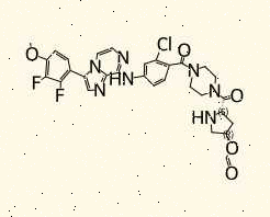 COc1ccc(-c2cnc3c(Nc4ccc(C(=O)N5CCN(C(=O)[C@@H]6C[C@@H](OC=O)CN6)CC5)c(Cl)c4)nccn23)c(F)c1F